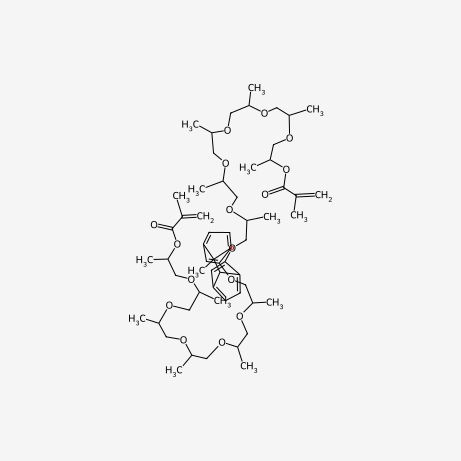 C=C(C)C(=O)OC(C)COC(C)COC(C)COC(C)COC(C)COC(C)COC1=CC2=CC=C1C2C1(C)C2=CC=C1C(OCC(C)OCC(C)OCC(C)OCC(C)OCC(C)OCC(C)OC(=O)C(=C)C)=C2